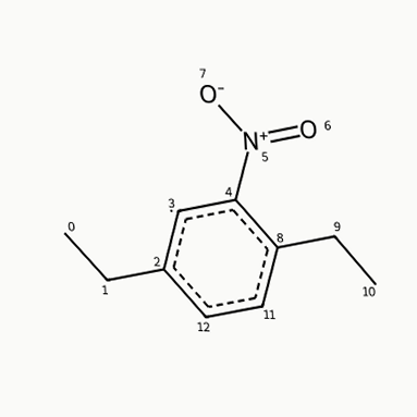 CCc1[c]c([N+](=O)[O-])c(CC)cc1